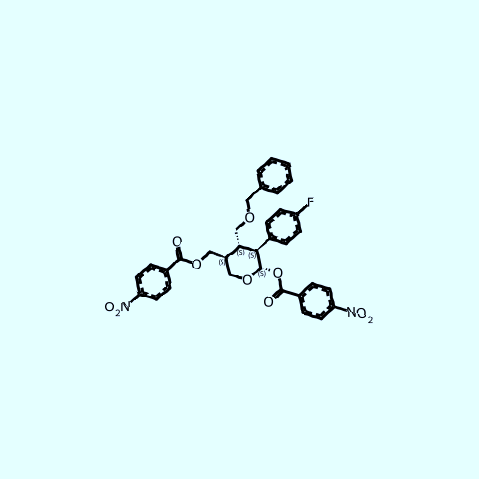 O=C(OC[C@@H]1CO[C@@H](OC(=O)c2ccc([N+](=O)[O-])cc2)[C@H](c2ccc(F)cc2)[C@H]1COCc1ccccc1)c1ccc([N+](=O)[O-])cc1